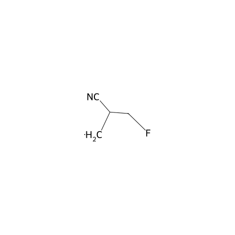 [CH2]C(C#N)CF